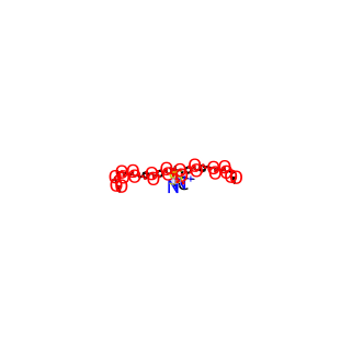 [C-]#[N+]/C(C#N)=C1\Sc2c(OC(=O)[C@H]3CC[C@H](C(=O)Oc4ccc(CCOC(=O)CCC(=O)OCC(C)OC(=O)C=C)cc4)CC3)c(C)c(C)c(OC(=O)[C@H]3CC[C@H](C(=O)Oc4ccc(CCOC(=O)CCC(=O)OC(C)COC(C)COC(=O)C=C)cc4)CC3)c2S1